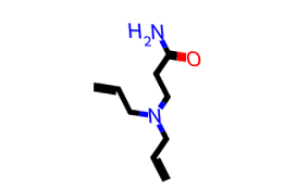 C=CCN(CC=C)CCC(N)=O